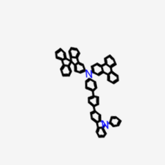 c1ccc(-n2c3ccccc3c3ccc(-c4ccc(-c5ccc(N(c6ccc7c(c6)-c6ccccc6C76c7ccccc7-c7ccccc76)c6ccc7c8ccccc8c8ccccc8c7c6)cc5)cc4)cc32)cc1